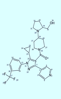 O=C(c1c(-c2ccncc2)nn(-c2cccc(C(F)(F)F)c2)c1C1CC1)N1CCC(N2CCCC2CO)CC1